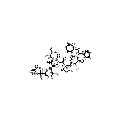 CC[C@H](C)[C@@H]([C@@H](CC(=O)N1CCC[C@H]1[C@H](OC)[C@@H](C)C(=O)N[C@@H](Cc1ccccc1)c1nccs1)OC)N(C)C(=O)[C@@H](NC(=O)C(C)(C)NC(C)=O)C(C)C